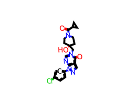 O=C(C1CC1)N1CCC(O)(Cn2cnc3c(cnn3-c3ccc(Cl)cc3)c2=O)CC1